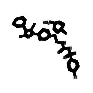 CCc1ccc(S(=O)(=O)NC(=O)NCCc2ccc(-n3nc(C)c(-c4ccccc4)c3C)cc2)cc1.Cc1ccc(S(=O)(=O)O)cc1